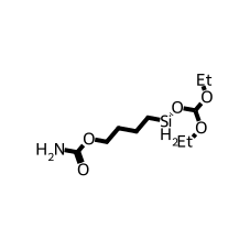 CCOC(OCC)O[SiH2]CCCCOC(N)=O